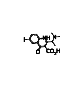 CC(c1[nH]c2ccc(I)cc2c(=O)c1C(=O)O)N(C)C